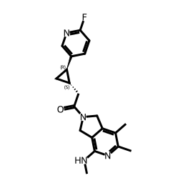 CNc1nc(C)c(C)c2c1CN(C(=O)C[C@@H]1C[C@H]1c1ccc(F)nc1)C2